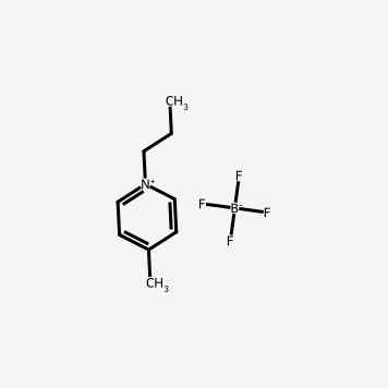 CCC[n+]1ccc(C)cc1.F[B-](F)(F)F